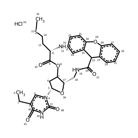 CCc1cn([C@@H]2CC(OC(=O)[C@@H](N)CCSC)[C@H](CNC(=O)C3c4ccccc4Oc4ccccc43)O2)c(=O)[nH]c1=O.Cl